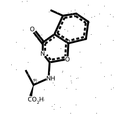 Cc1cccc2oc(N[C@H](C)C(=O)O)nc(=O)c12